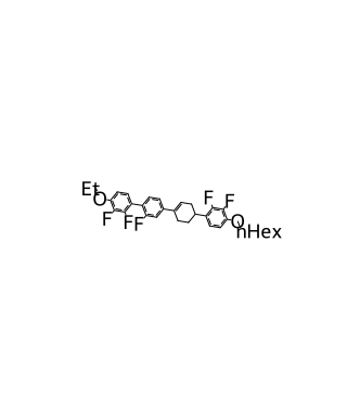 CCCCCCOc1ccc(C2CC=C(c3ccc(-c4ccc(OCC)c(F)c4F)c(F)c3)CC2)c(F)c1F